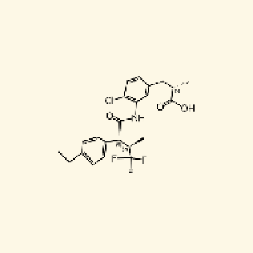 CCc1ccc([C@@H](C(=O)Nc2cc(C[C@H](C)C(=O)O)ccc2Cl)[C@@H](C)C(F)(F)F)cc1